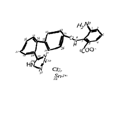 Nc1cccc(C(=O)[O-])c1NCc1ccc(-c2ccccc2-c2nnn[nH]2)cc1.[Cl-].[Sn+2]